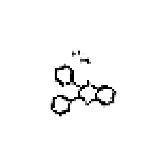 Br.P.c1ccc(-c2nc3ccccc3nc2-c2ccccc2)cc1